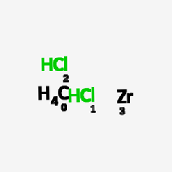 C.Cl.Cl.[Zr]